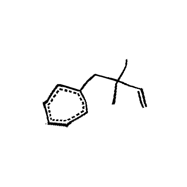 C=CC(C)(C)Cc1cc[c]cc1